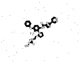 CC(C)(C)OC(=O)NCC[C@H]1CCCN1c1c(NC(=O)c2csc(-c3ccnnc3)n2)ccc(Oc2ccccc2)c1C(F)(F)F